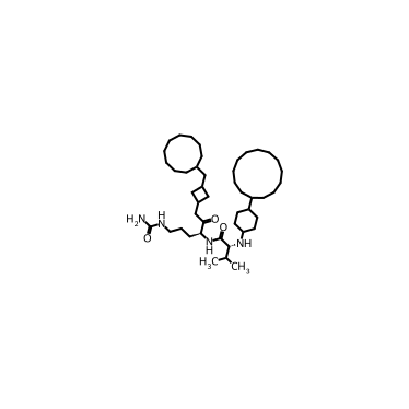 CC(C)[C@@H](NC1CCC(C2CCCCCCCCCCCC2)CC1)C(=O)N[C@@H](CCCNC(N)=O)C(=O)CC1CC(CC2CCCCCCCCC2)C1